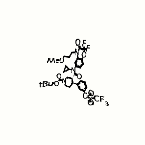 COCCCN1C(=O)C(F)(F)Oc2ccc(N(C(=O)[C@H]3CN(C(=O)OC(C)(C)C)CC[C@@H]3c3cccc(OS(=O)(=O)C(F)(F)F)c3)C3CC3)cc21